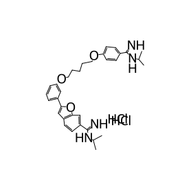 CC(C)NC(=N)c1ccc(OCCCCCOc2cccc(-c3cc4ccc(C(=N)NC(C)C)cc4o3)c2)cc1.Cl.Cl